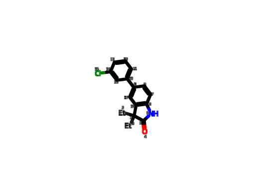 CCC1(CC)C(=O)Nc2ccc(-c3cccc(Cl)c3)cc21